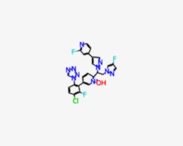 O[n+]1cc(-c2c(-n3cnnn3)ccc(Cl)c2F)ccc1C(Cn1cc(F)cn1)n1cc(-c2ccnc(F)c2)cn1